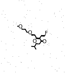 COCCCO/C=C/C1=C(/C=C/F)C(=O)CC(C(C)C)O1